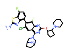 Nc1nc2c(-c3c(Cl)cc4c(N5CC6CCC(C5)N6)nc(OC5CCCC5N5CCCCC5)nc4c3F)ccc(F)c2s1